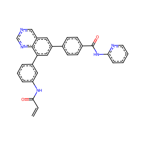 C=CC(=O)Nc1cccc(-c2cc(-c3ccc(C(=O)Nc4ccccn4)cc3)cc3cncnc23)c1